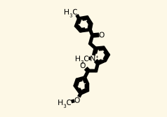 COc1ccc(C(=O)Cc2cccc(CC(=O)c3ccc(C)cc3)[n+]2C)cc1